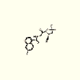 N#CC1CC(F)(F)CN1C(=O)CNC(=O)c1ccnc2cc(I)ccc12